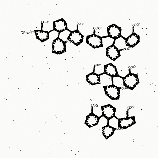 O=C([O-])c1ccccc1-c1cccc(-c2ccccc2C(=O)[O-])c1-c1ccccc1C(=O)[O-].O=C([O-])c1ccccc1-c1cccc(-c2ccccc2C(=O)[O-])c1-c1ccccc1C(=O)[O-].O=C([O-])c1ccccc1-c1cccc(-c2ccccc2C(=O)[O-])c1-c1ccccc1C(=O)[O-].O=C([O-])c1ccccc1-c1cccc(-c2ccccc2C(=O)[O-])c1-c1ccccc1C(=O)[O-].[Ti+4].[Ti+4].[Ti+4]